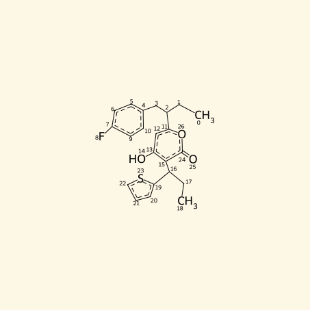 CCC(Cc1ccc(F)cc1)c1cc(O)c(C(CC)c2cccs2)c(=O)o1